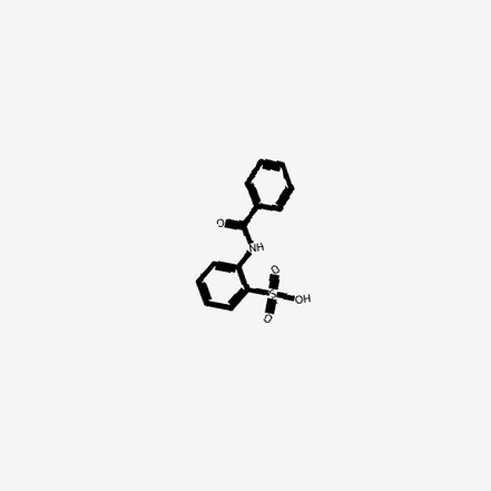 O=C(Nc1ccccc1S(=O)(=O)O)c1ccccc1